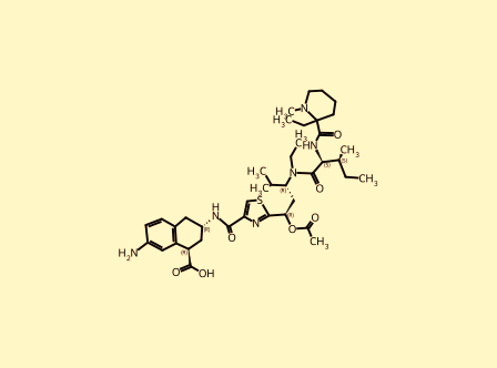 CC[C@H](C)[C@H](NC(=O)C1(CC)CCCCN1C)C(=O)N(CC)[C@H](C[C@@H](OC(C)=O)c1nc(C(=O)N[C@H]2Cc3ccc(N)cc3[C@H](C(=O)O)C2)cs1)C(C)C